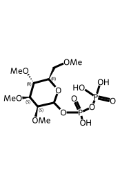 COC[C@H]1OC(OP(=O)(O)OP(=O)(O)O)[C@@H](OC)[C@@H](OC)[C@@H]1OC